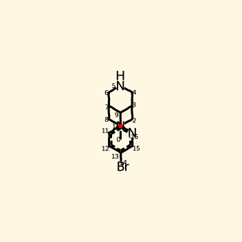 CN1CC2CNCC(C1)C2c1ccc(Br)cn1